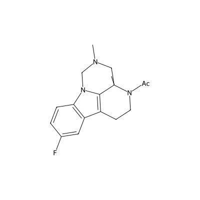 CC(=O)N1CCc2c3n(c4ccc(F)cc24)CN(C)CC31C